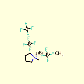 C.CCCC[N+]1(C)CCCC1.F[B-](F)(F)F.F[B-](F)(F)F.F[B-](F)(F)F